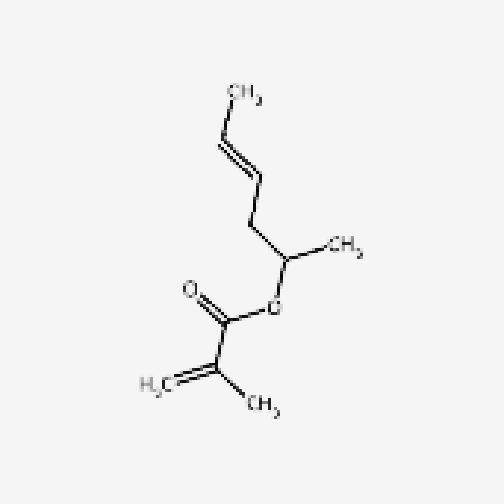 C=C(C)C(=O)OC(C)CC=CC